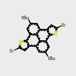 CC(C)(C)c1cc2c3cc(Br)sc3c3cc(C(C)(C)C)cc4c5cc(Br)sc5c(c1)c2c43